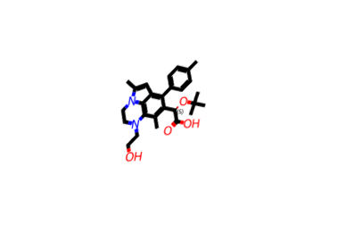 Cc1ccc(-c2c([C@H](OC(C)(C)C)C(=O)O)c(C)c3c4c2cc(C)n4CCN3CCO)cc1